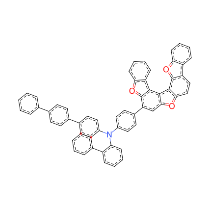 c1ccc(-c2ccc(-c3ccc(N(c4ccc(-c5cc6oc7ccc8c9ccccc9oc8c7c6c6c5oc5ccccc56)cc4)c4ccccc4-c4ccccc4)cc3)cc2)cc1